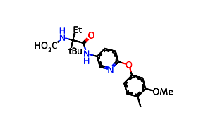 CC[C@@](NC(=O)O)(C(=O)Nc1ccc(Oc2ccc(C)c(OC)c2)nc1)C(C)(C)C